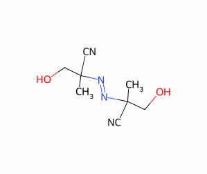 CC(C#N)(CO)/N=N/C(C)(C#N)CO